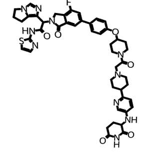 O=C1CCC(Nc2ccc(C3CCN(CC(=O)N4CCC(Oc5ccc(-c6cc(F)c7c(c6)C(=O)N(C(C(=O)Nc6nccs6)c6ncn8c6CCC8)C7)cc5)CC4)CC3)nc2)C(=O)N1